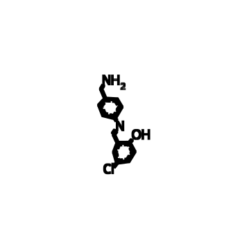 NCc1ccc(/N=C/c2cc(Cl)ccc2O)cc1